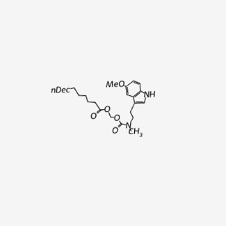 CCCCCCCCCCCCCCCC(=O)OCOC(=O)N(C)CCc1c[nH]c2ccc(OC)cc12